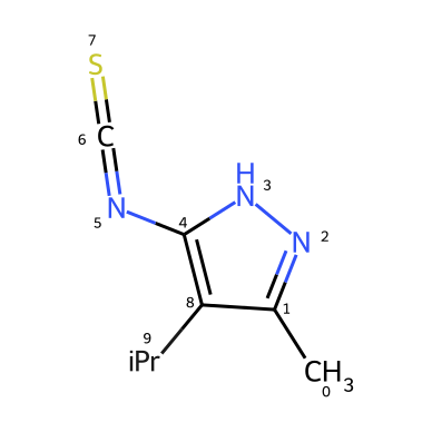 Cc1n[nH]c(N=C=S)c1C(C)C